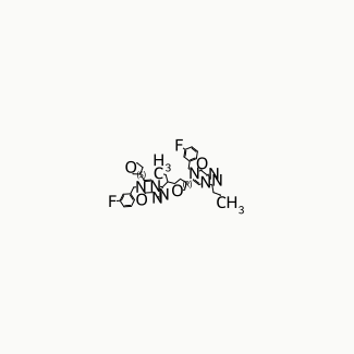 CCCc1nnc2c(=O)n(Cc3cccc(F)c3)c([C@@H]3COC(C(CC)c4nnc5c(=O)n(Cc6cccc(F)c6)c([C@@H]6CCOC6)cn45)C3)cn12